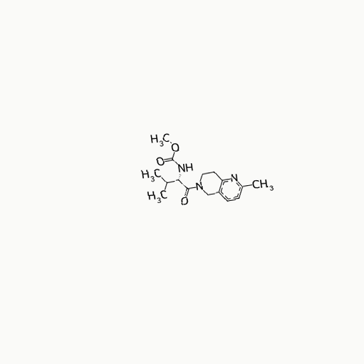 COC(=O)N[C@H](C(=O)N1CCc2nc(C)ccc2C1)C(C)C